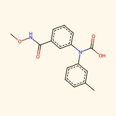 CONC(=O)c1cccc(N(C(=O)O)c2cccc(C)c2)c1